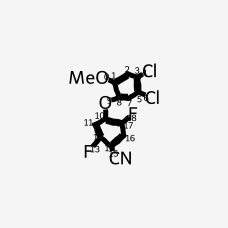 COc1cc(Cl)c(Cl)cc1Oc1cc(F)c(C#N)cc1F